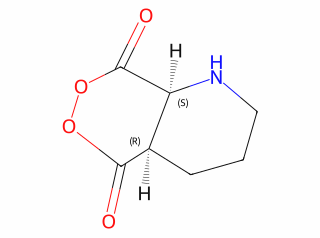 O=C1OOC(=O)[C@@H]2CCCN[C@H]12